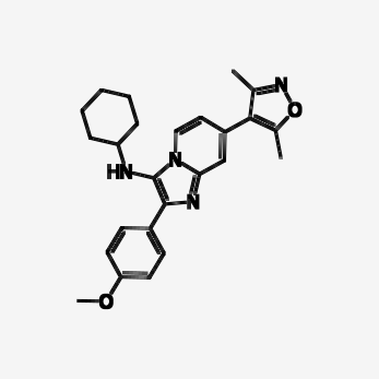 COc1ccc(-c2nc3cc(-c4c(C)noc4C)ccn3c2NC2CCCCC2)cc1